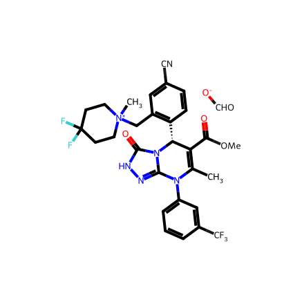 COC(=O)C1=C(C)N(c2cccc(C(F)(F)F)c2)c2n[nH]c(=O)n2[C@@H]1c1ccc(C#N)cc1C[N+]1(C)CCC(F)(F)CC1.O=C[O-]